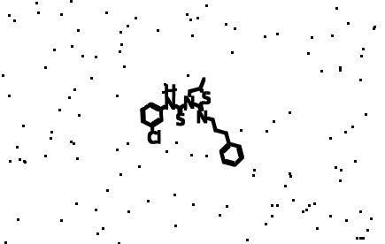 CC1CN(C(=S)Nc2cccc(Cl)c2)C(=NCCCc2ccccc2)S1